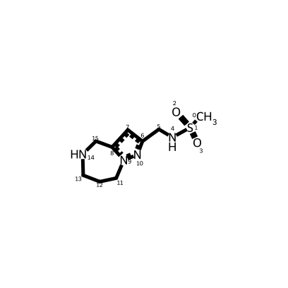 CS(=O)(=O)NCc1cc2n(n1)CCCNC2